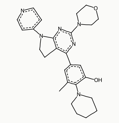 Cc1cc(-c2nc(N3CCOCC3)nc3c2CCN3c2ccncc2)cc(O)c1N1CCCCC1